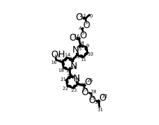 CC(=O)OCOC(=O)c1cccc(-c2cc(CO)cc(-c3cccc(C(=O)OCOC(C)=O)n3)n2)n1